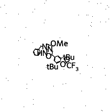 COc1cn(Cc2ccccc2)c(=N)n1CC(=O)c1cc(C(C)(C)C)c(OC(=O)C(F)(F)F)c(C(C)(C)C)c1